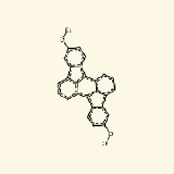 CCOc1ccc2c(c1)c1cccc3c1c2c1cccc2c4cc(OCC)ccc4c3c21